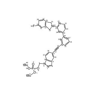 CC(C)(C)OP(=O)(OCn1ncc2cc(C#Cc3ccnc(-c4ccnc(N5Cc6ccc(F)cc6C5)n4)n3)ccc21)OC(C)(C)C